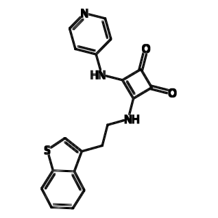 O=c1c(NCCc2csc3ccccc23)c(Nc2ccncc2)c1=O